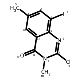 Cc1cc(I)c2nc(Cl)n(C)c(=O)c2c1